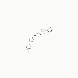 O=C1C(=Cc2ccc(-c3ccc(Cl)cc3)cc2)OCN1C1COC(c2c(F)cccc2F)=N1